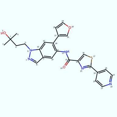 CC(C)(O)CCn1ncc2cc(NC(=O)c3csc(-c4ccncc4)n3)c(-c3ccoc3)cc21